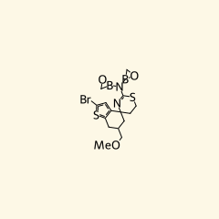 COCC1Cc2sc(Br)cc2C2(CCSC(N(B3CO3)B3CO3)=N2)C1